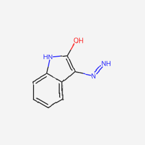 N=Nc1c(O)[nH]c2ccccc12